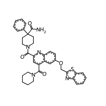 NC(=O)C1(c2ccccc2)CCN(C(=O)c2cc(C(=O)N3CCCCC3)c3cc(OCc4nc5ccccc5s4)ccc3n2)CC1